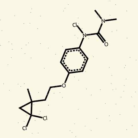 CN(C)C(=O)N(Cl)c1ccc(OCCC2(C)CC2(Cl)Cl)cc1